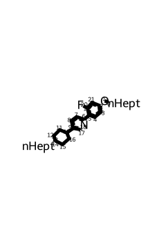 CCCCCCCOc1ccc(-c2ccc(C3CCC(CCCCCCC)CC3)cn2)c(F)c1